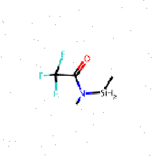 C[SiH2]N(C)C(=O)C(F)(F)F